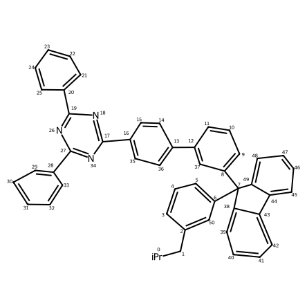 CC(C)Cc1cccc(C2(c3cccc(-c4ccc(-c5nc(-c6ccccc6)nc(-c6ccccc6)n5)cc4)c3)c3ccccc3-c3ccccc32)c1